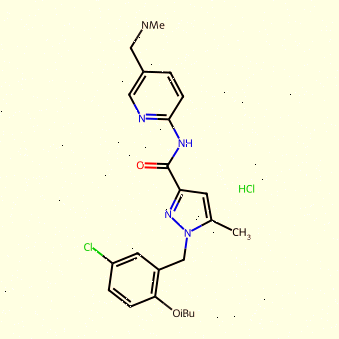 CNCc1ccc(NC(=O)c2cc(C)n(Cc3cc(Cl)ccc3OCC(C)C)n2)nc1.Cl